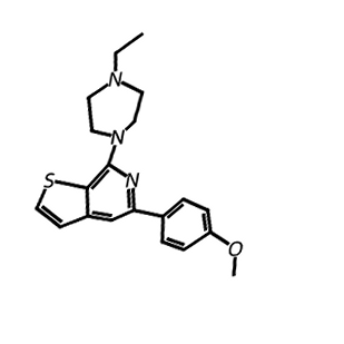 CCN1CCN(c2nc(-c3ccc(OC)cc3)cc3ccsc23)CC1